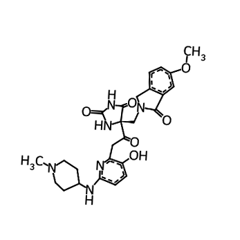 COc1ccc2c(c1)C(=O)N(C[C@@]1(C(=O)Cc3nc(NC4CCN(C)CC4)ccc3O)NC(=O)NC1=O)C2